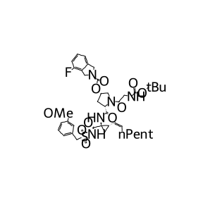 CCCCC/C=C\[C@@H]1C[C@]1(NC(=O)[C@@H]1C[C@@H](OC(=O)N2Cc3cccc(F)c3C2)CN1C(=O)CNC(=O)OC(C)(C)C)C(=O)NS(=O)(=O)Cc1cccc(OC)c1